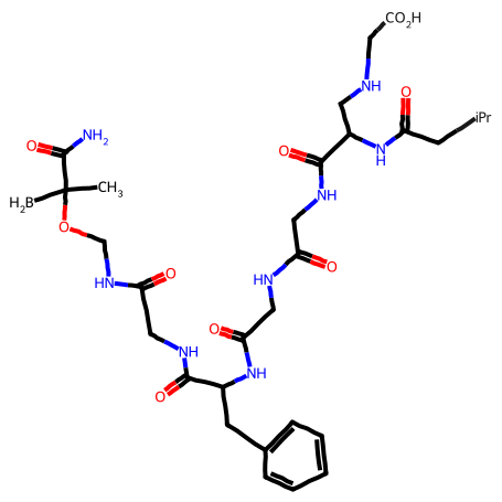 BC(C)(OCNC(=O)CNC(=O)C(Cc1ccccc1)NC(=O)CNC(=O)CNC(=O)C(CNCC(=O)O)NC(=O)CC(C)C)C(N)=O